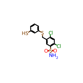 NS(=O)(=O)c1cc(CSc2cccc(S)c2)c(Cl)cc1Cl